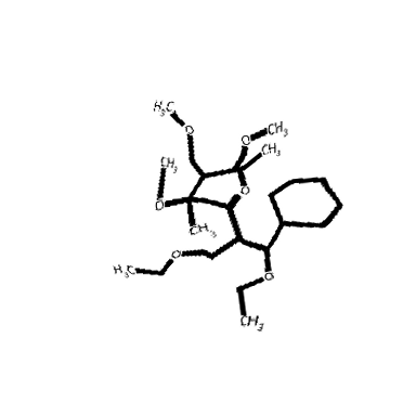 CCOCC(C(OCC)C1CCCCC1)C(OCC)C(C)(OC)C(COC)COC